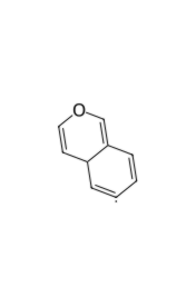 [C]1=CC2C=COC=C2C=C1